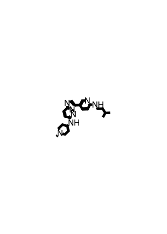 CC(C)CCNc1ccc(-c2cnc3ccc(NC4CCN(C)CC4)nn23)cn1